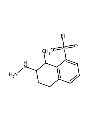 CCS(=O)(=O)c1cccc2c1C(C)C(NN)CC2